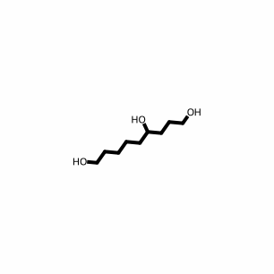 OCCCCCC(O)CCCO